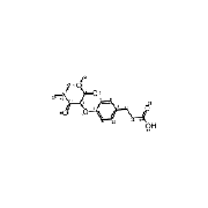 COC(=O)C(Oc1ccc(CCC(=O)O)cc1)C(=O)N(C)C